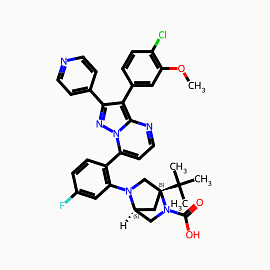 COc1cc(-c2c(-c3ccncc3)nn3c(-c4ccc(F)cc4N4C[C@@]5(C(C)(C)C)C[C@H]4CN5C(=O)O)ccnc23)ccc1Cl